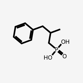 CC(Cc1ccccc1)CP(=O)(O)O